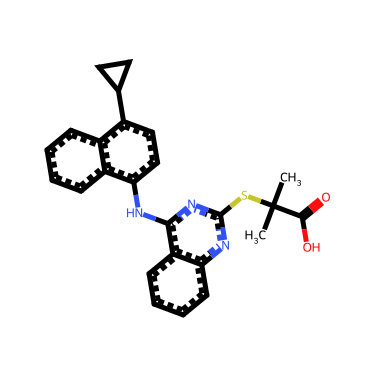 CC(C)(Sc1nc(Nc2ccc(C3CC3)c3ccccc23)c2ccccc2n1)C(=O)O